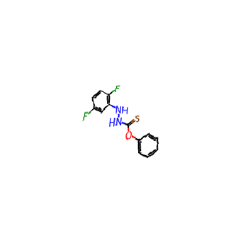 Fc1ccc(F)c(NNC(=S)Oc2ccccc2)c1